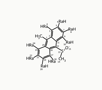 Cc1c2[c]([RaH])[c]([RaH])[c]([RaH])[c]([RaH])c2c([S+](C)[O-])c2[c]([RaH])[c]([RaH])[c]([RaH])[c]([RaH])c12